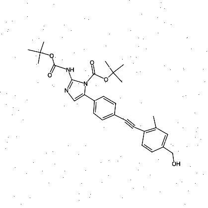 Cc1cc(CO)ccc1C#Cc1ccc(-c2cnc(NC(=O)OC(C)(C)C)n2C(=O)OC(C)(C)C)cc1